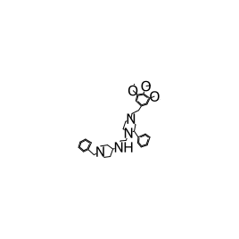 COc1cc(CCN2CCN(CCNC3CCN(Cc4ccccc4)CC3)C(c3ccccc3)C2)cc(OC)c1OC